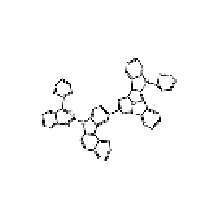 C1=C(c2ccc3c(c2)c2c4ccccc4ccc2n3-c2nc(-c3ccccc3)c3ccccc3n2)C=c2c3ccccc3c3n2C1C1C=3N(c2ccccc2)c2ccccc21